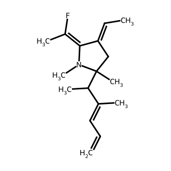 C=C/C=C(\C)C(C)C1(C)C/C(=C\C)C(=C(C)F)N1C